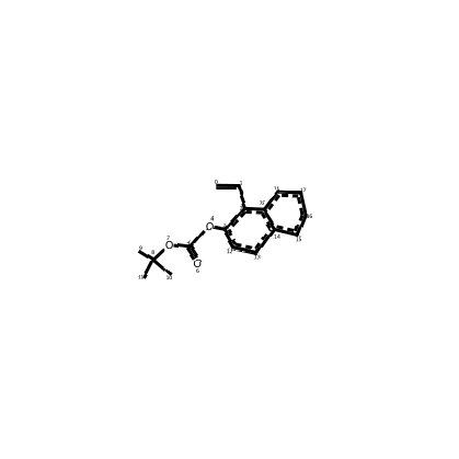 C=Cc1c(OC(=O)OC(C)(C)C)ccc2ccccc12